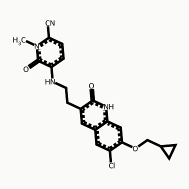 Cn1c(C#N)ccc(NCCc2cc3cc(Cl)c(OCC4CC4)cc3[nH]c2=O)c1=O